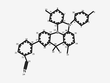 Cc1ccc(N2c3ccc(C)cc3B3c4ccc(-c5cccc(C#N)c5)cc4C(C)(C)c4c(C)ccc2c43)cc1